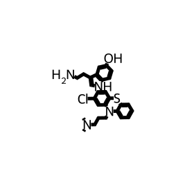 CN(C)CCCN1c2ccccc2Sc2ccc(Cl)cc21.NCCc1c[nH]c2ccc(O)cc12